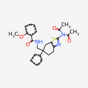 COc1ccccc1C(=O)NCC1(c2ccccc2)CCc2nc(N(C(C)=O)C(C)=O)sc2C1